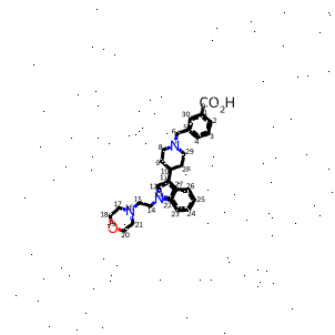 O=C(O)c1cccc(CN2CCC(c3cn(CCN4CCOCC4)c4ccccc34)CC2)c1